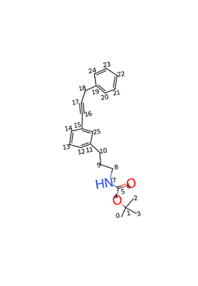 CC(C)(C)OC(=O)NCCCc1cccc(C#CCc2ccccc2)c1